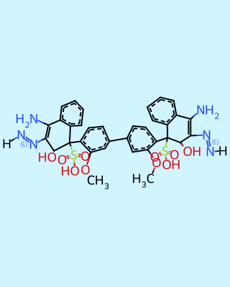 [H]/N=N/C1=C(N)c2ccccc2C(c2ccc(-c3ccc(C4(S(=O)(=O)O)c5ccccc5C(N)=C(/N=N/[H])C4O)c(OC)c3)cc2OC)(S(=O)(=O)O)C1O